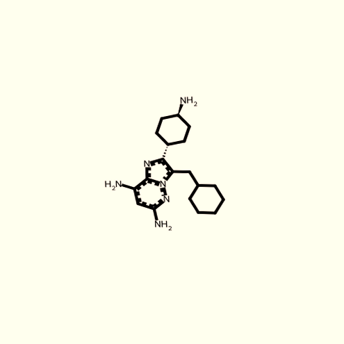 Nc1cc(N)c2nc([C@H]3CC[C@H](N)CC3)c(CC3CCCCC3)n2n1